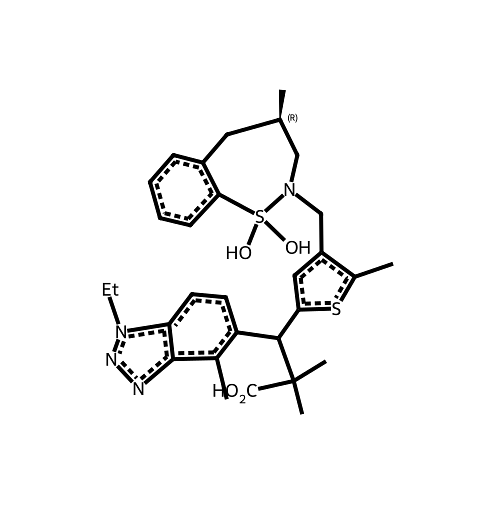 CCn1nnc2c(C)c(C(c3cc(CN4C[C@H](C)Cc5ccccc5S4(O)O)c(C)s3)C(C)(C)C(=O)O)ccc21